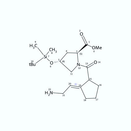 COC(=O)[C@@H]1C[C@@H](O[Si](C)(C)C(C)(C)C)CN1C(=O)C1CCC/C1=C\CN